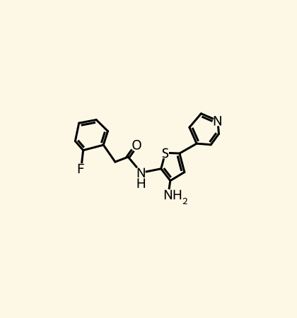 Nc1cc(-c2ccncc2)sc1NC(=O)Cc1ccccc1F